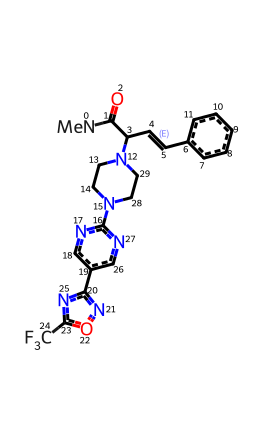 CNC(=O)C(/C=C/c1ccccc1)N1CCN(c2ncc(-c3noc(C(F)(F)F)n3)cn2)CC1